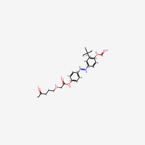 CC(=O)CCCOCC(=O)Oc1ccc(N=Nc2ccc(OC=O)c(C(C)(C)C)c2)cc1